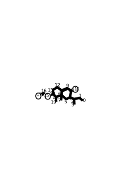 CCC(C)C1CC2(C)C(=CC1=O)CCC(OC=O)C2C